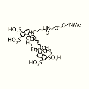 CC[N+]1=C(/C=C/C=C/C=C2/N(CCCCCC(=O)NCCOCCOCCNC)c3ccc4c(S(=O)(=O)O)cc(S(=O)(=O)O)cc4c3C2(C)C)C(C)(C)c2c1ccc1c(S(=O)(=O)O)cc(S(=O)(=O)O)cc21